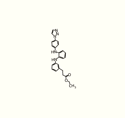 CCOC(=O)CCc1cccc(Nc2ccccc2Nc2ccc(-n3ccnn3)cc2)c1